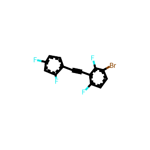 Fc1ccc(C#Cc2c(F)ccc(Br)c2F)c(F)c1